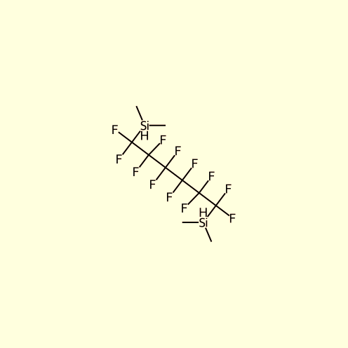 C[SiH](C)C(F)(F)C(F)(F)C(F)(F)C(F)(F)C(F)(F)C(F)(F)[SiH](C)C